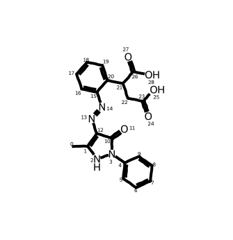 Cc1[nH]n(-c2ccccc2)c(=O)c1N=Nc1ccccc1C(CC(=O)O)C(=O)O